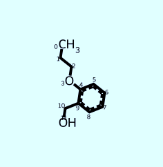 CCCOc1ccccc1CO